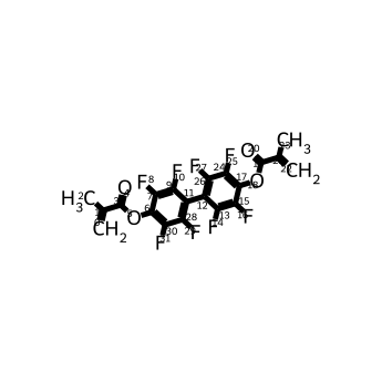 C=C(C)C(=O)Oc1c(F)c(F)c(-c2c(F)c(F)c(OC(=O)C(=C)C)c(F)c2F)c(F)c1F